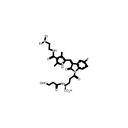 CCN(CC)CCNC(=O)c1c(C)[nH]c(/C=C2\C(=O)N(C(=O)CC[C@H](NC(=O)CCC=O)C(=O)O)c3ccc(F)cc32)c1C